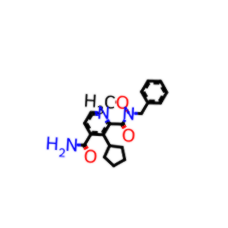 CON(Cc1ccccc1)C(=O)c1nccc(C(N)=O)c1C1CCCC1